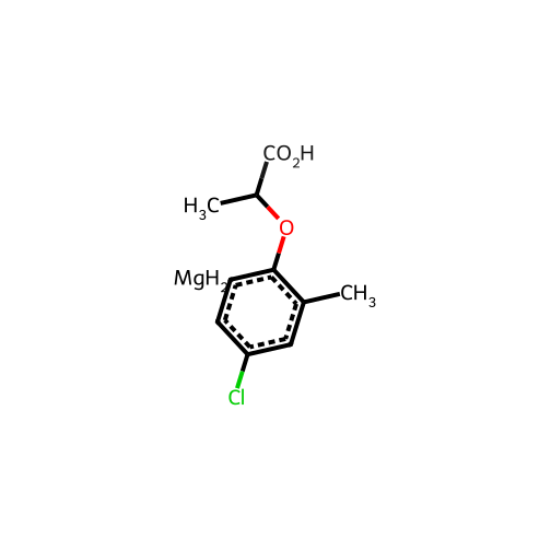 Cc1cc(Cl)ccc1OC(C)C(=O)O.[MgH2]